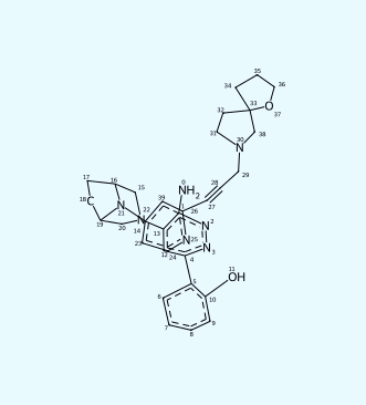 Nc1nnc(-c2ccccc2O)cc1N1CC2CCC(C1)N2c1ccnc(C#CCN2CCC3(CCCO3)C2)c1